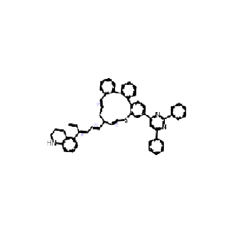 C=C/C(=C\C=C\C1/C=C/Sc2cc(-c3cc(-c4ccccc4)nc(-c4ccccc4)n3)ccc2-c2ccccc2-c2ccccc2/C=C/C1)c1cccc2c1C=CCN2